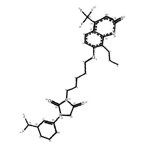 CCCc1c(OCCCCCN2C(=O)CN(C3=CC(C(F)F)CCC3)C2=O)ccc2c(C(F)(F)F)cc(=O)oc12